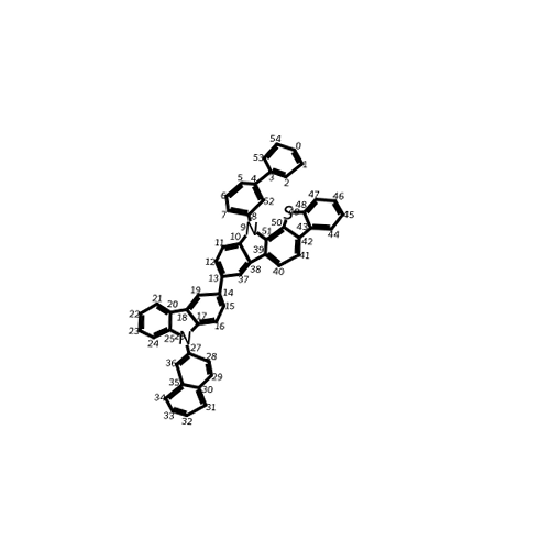 c1ccc(-c2cccc(-n3c4ccc(-c5ccc6c(c5)c5ccccc5n6-c5ccc6ccccc6c5)cc4c4ccc5c6ccccc6sc5c43)c2)cc1